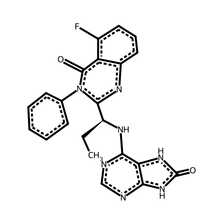 CC[C@H](Nc1ncnc2[nH]c(=O)[nH]c12)c1nc2cccc(F)c2c(=O)n1-c1ccccc1